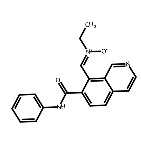 CC/[N+]([O-])=C/c1c(C(=O)Nc2ccccc2)ccc2ccncc12